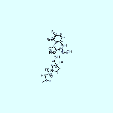 CC(C)NS(=O)(=O)N1CC[C@](F)(CNc2nonc2/C(=N/O)Nc2ccc(F)c(Br)c2)C1